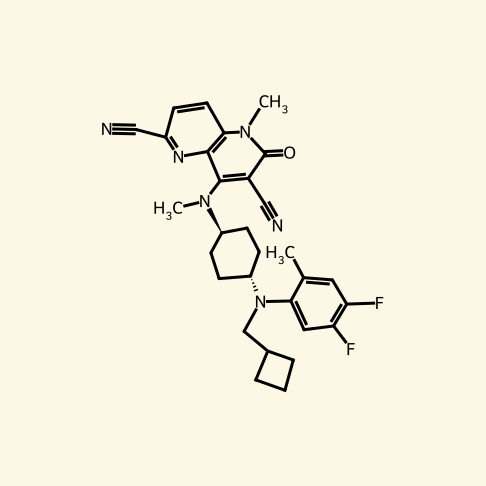 Cc1cc(F)c(F)cc1N(CC1CCC1)[C@H]1CC[C@H](N(C)c2c(C#N)c(=O)n(C)c3ccc(C#N)nc23)CC1